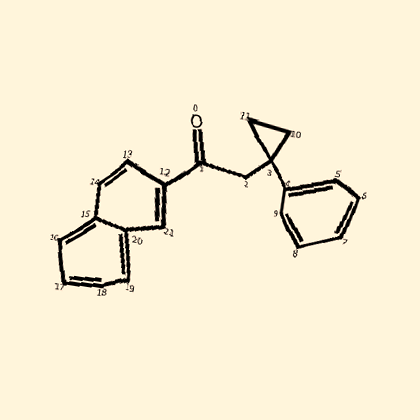 O=C(CC1(c2ccccc2)CC1)c1ccc2ccccc2c1